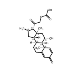 CCCCC(=O)OCC(=O)[C@H]1[C@H](C)C[C@H]2[C@@H]3CCC4=CC(=O)C=C[C@]4(C)[C@H]3[C@@H](O)C[C@@]21C